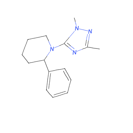 Cc1nc(N2CCCCC2c2ccccc2)n(C)n1